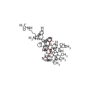 CC[C@H](C)[C@H](NC(=O)[C@@H](NC(=O)[C@H](CC(C)C)NC(=O)[C@H](Cc1c[nH]cn1)NC(=O)[C@H](Cc1ccccc1)NC(=O)[C@@H]1CCCN1C(=O)[C@H](Cc1c[nH]cn1)NC(=O)[C@@H](N)CCCCNC(C)=O)C(C)C)C(=O)N[C@@H](Cc1c[nH]cn1)C(=O)N[C@@H](CCCCN)C(=O)O